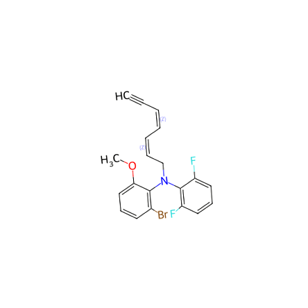 C#C/C=C\C=C/CN(c1c(F)cccc1F)c1c(Br)cccc1OC